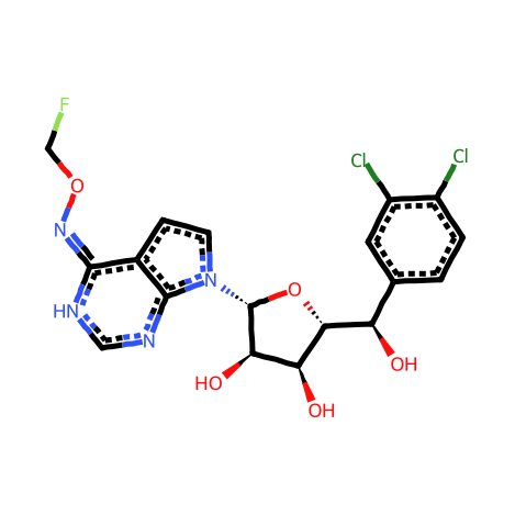 O[C@@H]1[C@H](O)[C@@H]([C@H](O)c2ccc(Cl)c(Cl)c2)O[C@H]1n1ccc2/c(=N\OCF)[nH]cnc21